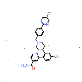 NC(=O)c1ccnc(-c2ccc(C(F)(F)F)cc2C2CCN(Cc3ccc(-c4ncc(Cl)cn4)cc3)CC2)c1